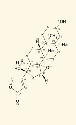 C[C@]12CC[C@H](O)C[C@H]1CC[C@@H]1[C@@H]2CC[C@@]2(C)[C@@]13O[C@@H]3C[C@]2(O)C1=CC(=O)OC1